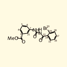 COC(=O)c1cccc(NC(=O)NC(=O)c2ccccc2Br)c1